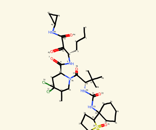 CCCC[C@H](NC(=O)[C@@H]1CC(Cl)(Cl)C(C)CN1C(=O)[C@@H](NC(=O)NC1(C2CCCS2(=O)=O)CCCCC1)C(C)(C)C)C(=O)C(=O)NC1CC1